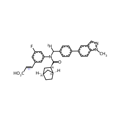 [2H]C(c1ccc(-c2ccc3c(cnn3C)c2)cc1)N(C(=O)[C@@H]1C[C@@H]2CC[C@H]1C2)c1cc(F)cc(/C=C/C(=O)O)c1